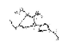 CCc1nn(-c2ccc(OC)cc2)c(N)c1N